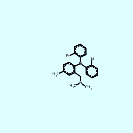 CCc1cccc[c]1[Bi]([c]1ccccc1CC)[c]1ccc(C)cc1CN(C)C